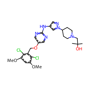 COc1cc(OC)c(Cl)c(COc2cnc(Nc3cnn(C4CCN(CC(C)(C)O)CC4)c3)nc2)c1Cl